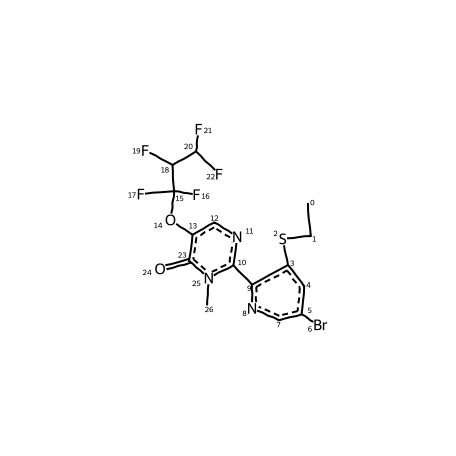 CCSc1cc(Br)cnc1-c1ncc(OC(F)(F)C(F)C(F)F)c(=O)n1C